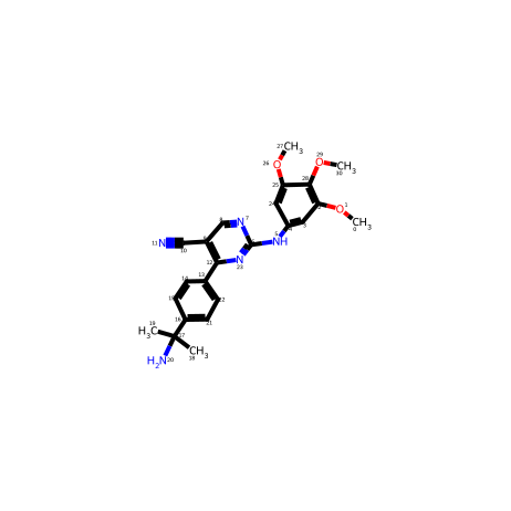 COc1cc(Nc2ncc(C#N)c(-c3ccc(C(C)(C)N)cc3)n2)cc(OC)c1OC